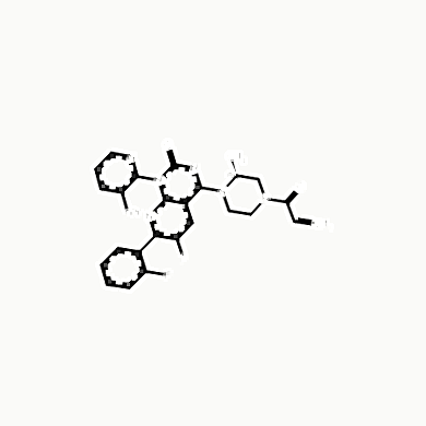 C=CC(=O)N1CCN(c2nc(=O)n(-c3ncccc3CCC)c3nc(-c4ccccc4F)c(F)cc23)[C@@H](C)C1